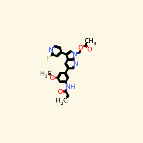 C=CC(=O)Nc1cc(OC)cc(-c2cnc3c(c2)c(-c2ccnc(F)c2)cn3COC(C)=O)c1